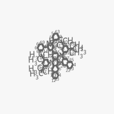 CC(C)(C)c1cc(N2c3cc4ccccc4cc3B3c4cc5ccccc5cc4N(c4cc(C(C)(C)C)cc(C(C)(C)C)c4)c4cc(-c5cc(-c6ccccc6)nc(-c6ccccc6)c5)cc2c43)cc(C(C)(C)C)c1